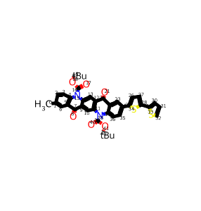 Cc1ccc2c(c1)c(=O)c1cc3c(cc1n2C(=O)OC(C)(C)C)c(=O)c1cc(-c2ccc(-c4cccs4)s2)ccc1n3C(=O)OC(C)(C)C